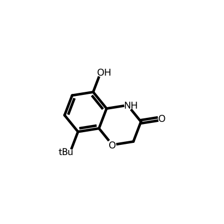 CC(C)(C)c1ccc(O)c2c1OCC(=O)N2